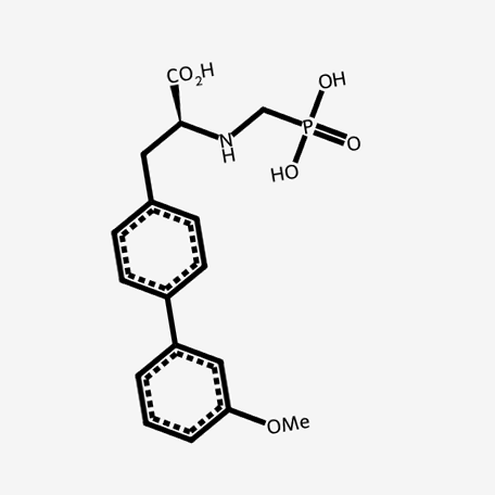 COc1cccc(-c2ccc(C[C@H](NCP(=O)(O)O)C(=O)O)cc2)c1